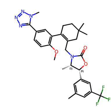 COc1ccc(-c2nnnn2C)cc1C1=C(CN2C(=O)O[C@H](c3cc(C)cc(C(F)(F)F)c3)[C@@H]2C)CC(C)(C)CC1